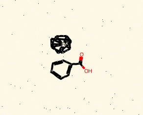 O=C(O)c1ccccc1.[CH]12[CH]3[CH]4[CH]5[CH]1[Fe]23451678[CH]2[CH]1[CH]6[CH]7[CH]28